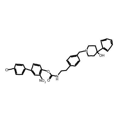 O=C(NCCc1ccc(CN2CCC(O)(c3ccccc3)CC2)cc1)Oc1ccc(-c2ccc(Cl)cc2)cc1[N+](=O)[O-]